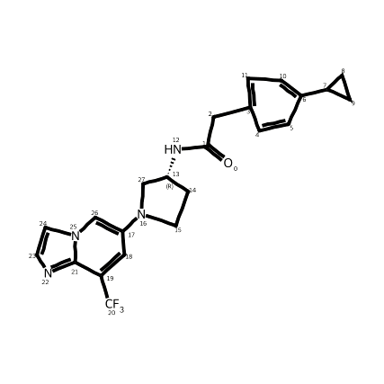 O=C(Cc1ccc(C2CC2)cc1)N[C@@H]1CCN(c2cc(C(F)(F)F)c3nccn3c2)C1